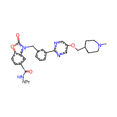 CCCNC(=O)c1ccc2oc(=O)n(Cc3cccc(-c4ncc(OCC5CCN(C)CC5)cn4)c3)c2c1